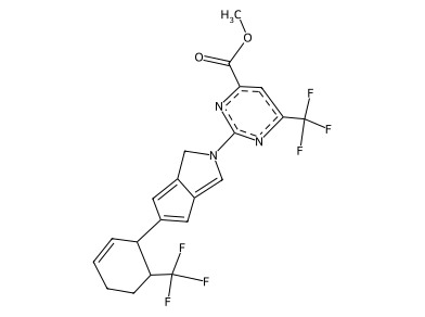 COC(=O)c1cc(C(F)(F)F)nc(N2C=C3C=C(C4C=CCCC4C(F)(F)F)C=C3C2)n1